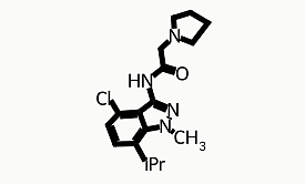 CC(C)c1ccc(Cl)c2c(NC(=O)CN3CCCC3)nn(C)c12